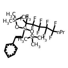 CCCC(F)(F)C(F)(F)C(F)(F)C(F)(F)C(F)(F)[Si](C=Cc1ccccc1)(O[Si](C)(C)C)O[Si](C)(C)C